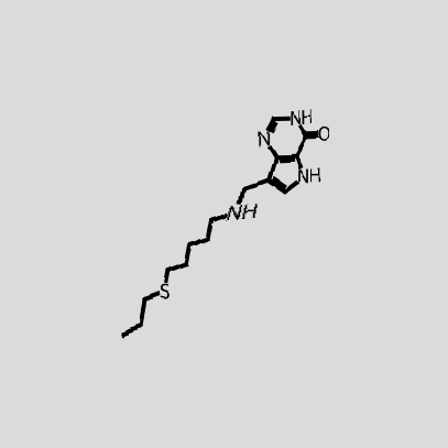 CCCSCCCCCNCc1c[nH]c2c(=O)[nH]cnc12